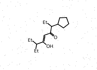 CCC(CC)/C(O)=C/C(=O)C(CC)C1CCCC1